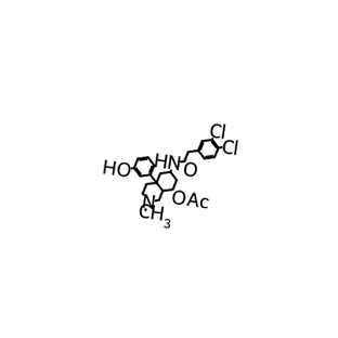 CC(=O)OC1CC(NC(=O)Cc2ccc(Cl)c(Cl)c2)CC2(c3cccc(O)c3)CCN(C)CC12